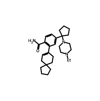 CCN1CCN(C2(c3ccc(C(N)=O)c(C4=CCC5(CCCC5)CC4)c3)CCCC2)CC1